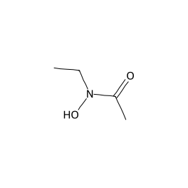 CCN(O)C(C)=O